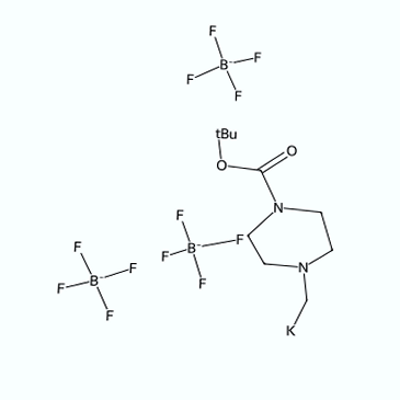 CC(C)(C)OC(=O)N1CCN([CH2][K])CC1.F[B-](F)(F)F.F[B-](F)(F)F.F[B-](F)(F)F